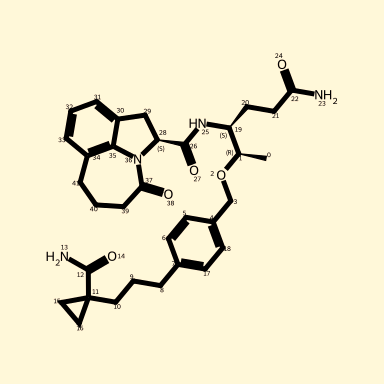 C[C@@H](OCc1ccc(CCCC2(C(N)=O)CC2)cc1)[C@H](CCC(N)=O)NC(=O)[C@@H]1Cc2cccc3c2N1C(=O)CCC3